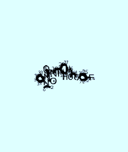 CC(C)n1c(=O)n(C(=O)NCC2CCN(CC(O)COc3ccc(F)cc3)CC2)c2ccccc21